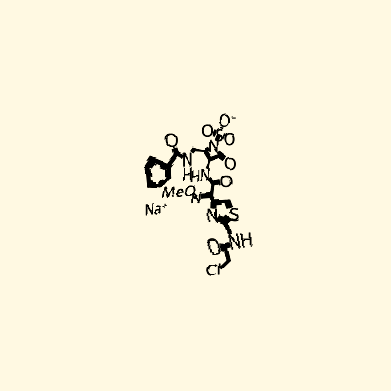 CON=C(C(=O)N[C@@H]1C(=O)N(S(=O)(=O)[O-])[C@@H]1CNC(=O)c1ccccc1)c1csc(NC(=O)CCl)n1.[Na+]